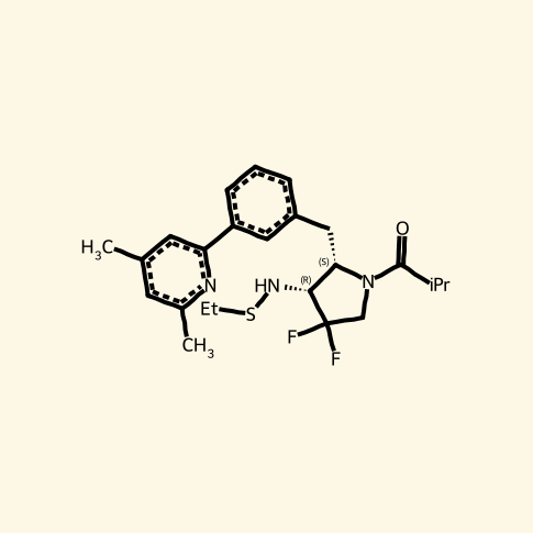 CCSN[C@@H]1[C@H](Cc2cccc(-c3cc(C)cc(C)n3)c2)N(C(=O)C(C)C)CC1(F)F